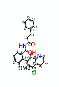 COc1cccc(CNC(=O)CCc2ccccc2)c1-c1cc(Cl)c2cccnc2c1O